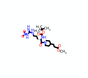 COC(=O)CCC1CCN(C(=O)[C@H](CCCNC(=N)N[N+](=O)[O-])NC(=O)OC(C)(C)C)CC1